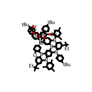 CCC(C)(C)c1cc2c3c(c1)N(c1c(C)cc(C)cc1C)c1cc4c(cc1B3c1cc(C(C)(C)C)ccc1O2)B1c2cc3c(cc2N(c2c(C)cc(C)cc2C)c2cc(C(C)(C)CC)cc(c21)N4c1ccc(C(C)(C)C)cc1)N(c1ccc(C(C)(C)C)cc1)c1cc(C(C)(C)CC)cc2c1B3c1cc(C(C)(C)C)ccc1N2c1ccc(C(C)(C)C)cc1